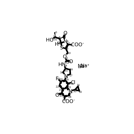 C[C@H](O)[C@H]1C(=O)N2C(C(=O)[O-])=C(COC(=O)NC3CCN(c4c(F)cc5c(=O)c(C(=O)[O-])cn(C6CC6)c5c4Cl)C3)S[C@@H]12.[Na+].[Na+]